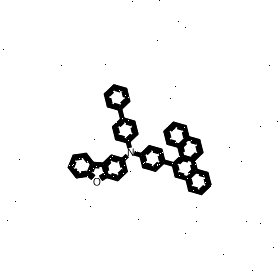 c1ccc(-c2ccc(N(c3ccc(-c4cc5ccccc5c5ccc6ccccc6c45)cc3)c3ccc4oc5ccccc5c4c3)cc2)cc1